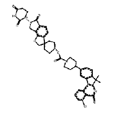 CC1(C)c2ccc(C3CCN(C(=O)CN4CCC5(CC4)COc4c5ccc5c4CN([C@H]4CCC(=O)NC4=O)C5=O)CC3)cc2-n2c1nc(=O)c1c(Cl)cccc12